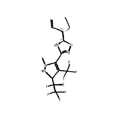 C=C[C@H](CC)[C@@H]1NC(C2=C(C(F)(F)F)C(C(F)(F)C(F)(F)F)NN2C)=NO1